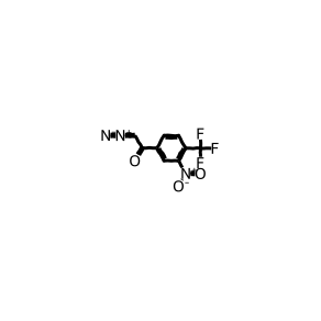 [N-]=[N+]=CC(=O)c1ccc(C(F)(F)F)c([N+](=O)[O-])c1